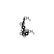 CCCCOC(=O)c1ccc(NC(=S)N2C(=O)COc3ccc(C)cc32)cc1